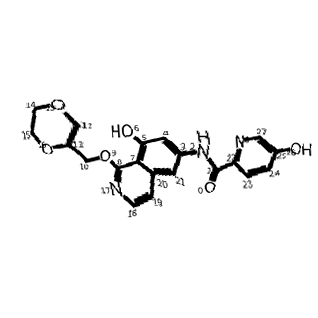 O=C(Nc1cc(O)c2c(OCC3COCCO3)nccc2c1)c1ccc(O)cn1